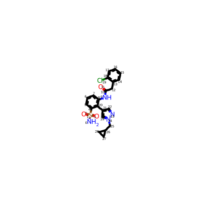 NS(=O)(=O)c1cccc(NC(=O)Cc2ccccc2Cl)c1-c1cnn(CC2CC2)c1